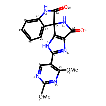 COc1ncc(-c2nc3c([nH]2)C2(NC3=O)C(=O)Nc3ccccc32)c(OC)n1